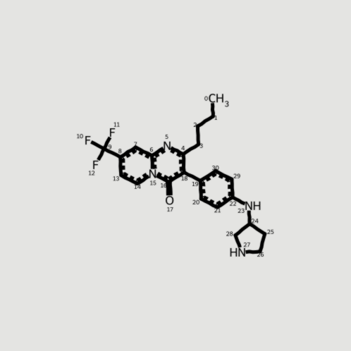 CCCCc1nc2cc(C(F)(F)F)ccn2c(=O)c1-c1ccc(NC2CCNC2)cc1